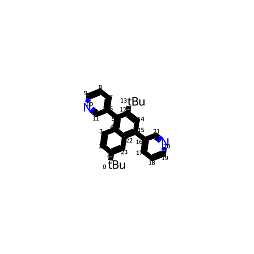 CC(C)(C)c1ccc2c(-c3cccnc3)c(C(C)(C)C)cc(-c3cccnc3)c2c1